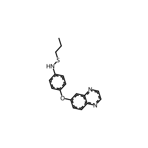 CCCSNc1ccc(Oc2ccc3nccnc3c2)cc1